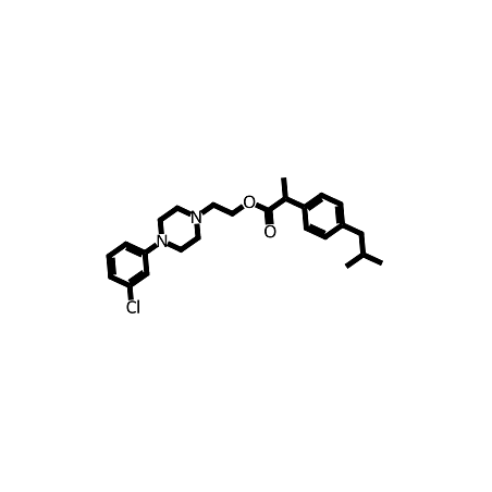 CC(C)Cc1ccc(C(C)C(=O)OCCN2CCN(c3cccc(Cl)c3)CC2)cc1